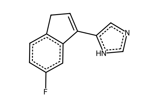 Fc1ccc2c(c1)C(c1cnc[nH]1)=CC2